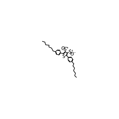 CCCCCCCc1ccc(-c2sc(-c3ccc(CCCCCCC)cc3)c([S+](C)[O-])c2[S+](C)[O-])cc1